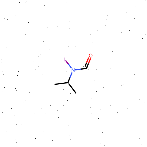 CC(C)N(I)C=O